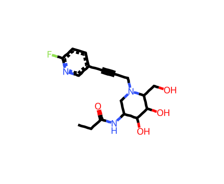 CCC(=O)NC1CN(CC#Cc2ccc(F)nc2)C(CO)C(O)C1O